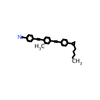 CCCCCC1CC1c1ccc(C#Cc2ccc(C#Cc3ccc(C#N)cc3)c(C)c2)cc1